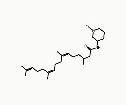 CCN1CCCC(NC(=O)CC(C)CCC=C(C)CCC=C(C)CCC=C(C)C)C1